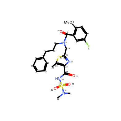 COc1ccc(F)cc1C(=O)N(CCCc1ccccc1)Cc1nc(C(=O)NS(=O)(=O)N(C)C)c(C)s1